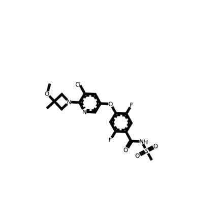 COC1(C)CN(c2ncc(Oc3cc(F)c(C(=O)NS(C)(=O)=O)cc3F)cc2Cl)C1